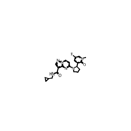 Cn1cc(F)cc(C2CCCN2c2ccn3ncc(C(=O)NCC4CC4)c3n2)c1=O